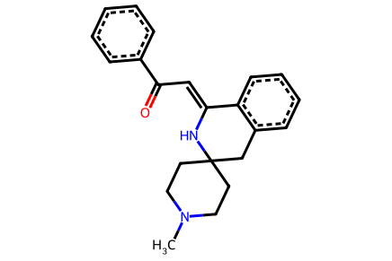 CN1CCC2(CC1)Cc1ccccc1/C(=C/C(=O)c1ccccc1)N2